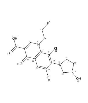 O=C(O)c1cn(CCF)c2c(Cl)c(N3CCC(O)C3)c(F)cc2c1=O